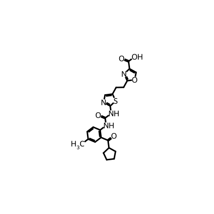 Cc1ccc(NC(=O)Nc2ncc(CCc3nc(C(=O)O)co3)s2)c(C(=O)C2CCCC2)c1